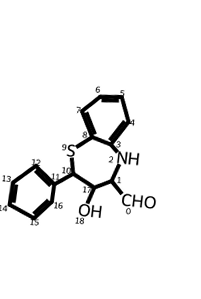 O=CC1Nc2ccccc2SC(c2ccccc2)C1O